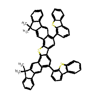 CC1(C)c2ccccc2-c2cc3c(-c4cccc5c4sc4ccccc45)cc4c5cc(-c6cccc7c6sc6ccccc67)c6cc7c(cc6c5sc4c3cc21)C(C)(C)c1ccccc1-7